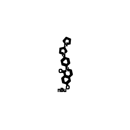 CCCCOc1ccc2c(=O)n(-c3ccc(N4CC[C@@H](N5CCCC5)C4)cc3)ccc2c1